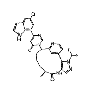 CC1CCCC(n2cnc(-c3cc(Cl)cc4cc[nH]c34)cc2=O)c2cc(ccn2)-c2c(cnn2C(F)F)NC1=O